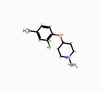 Bc1ccc(OC2CCN(B)CC2)c(F)c1